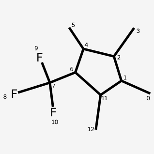 CC1C(C)C(C)C(C(F)(F)F)C1C